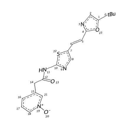 CC(C)(C)c1cnc(/C=C/c2cnc(NC(=O)Cc3ccc[n+]([O-])c3)s2)o1